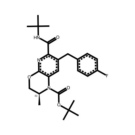 C[C@H]1COc2nc(C(=O)NC(C)(C)C)c(Cc3ccc(F)cc3)cc2N1C(=O)OC(C)(C)C